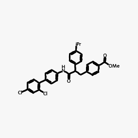 COC(=O)c1ccc(CC(C(=O)Nc2ccc(-c3ccc(Cl)cc3Cl)cc2)c2ccc(C(C)C)cc2)cc1